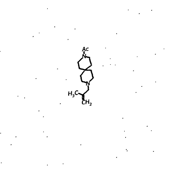 C=C(C)CN1CCC2(CC1)CCN(C(C)=O)CC2